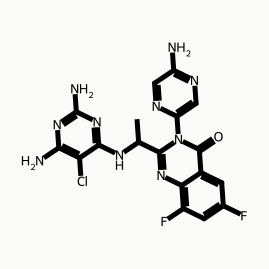 CC(Nc1nc(N)nc(N)c1Cl)c1nc2c(F)cc(F)cc2c(=O)n1-c1cnc(N)cn1